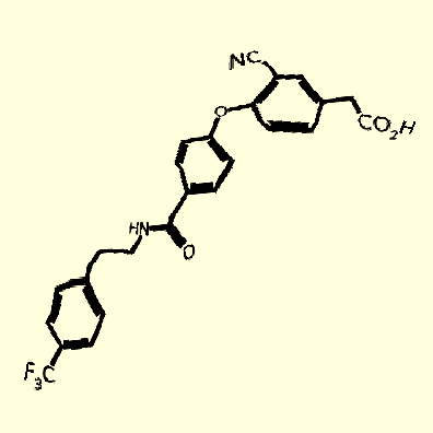 N#Cc1cc(CC(=O)O)ccc1Oc1ccc(C(=O)NCCc2ccc(C(F)(F)F)cc2)cc1